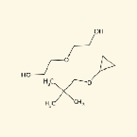 CC(C)(C)COC1CC1.OCCOCCO